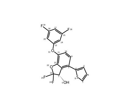 O[C@H]1c2c(-c3cccs3)ccc(Oc3cc(F)cc(F)c3)c2OC1(F)F